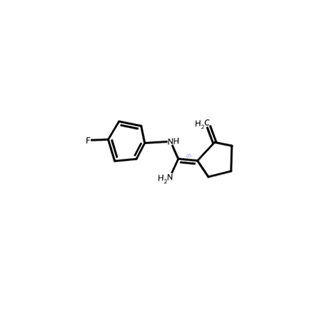 C=C1CCC/C1=C(\N)Nc1ccc(F)cc1